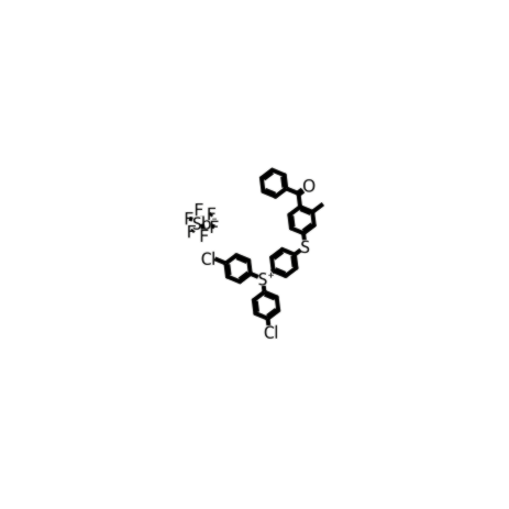 Cc1cc(Sc2ccc([S+](c3ccc(Cl)cc3)c3ccc(Cl)cc3)cc2)ccc1C(=O)c1ccccc1.[F][Sb-]([F])([F])([F])([F])[F]